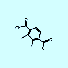 Cc1c(C(=O)Cl)ccc(C(=O)Cl)c1C